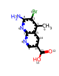 Cc1c(Br)c(N)nc2ncc(C(=O)O)cc12